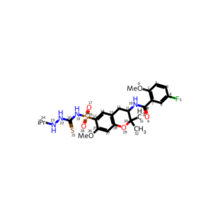 COc1ccc(F)cc1C(=O)NC1Cc2cc(S(=O)(=O)NC(=S)NNC(C)C)c(OC)cc2OC1(C)C